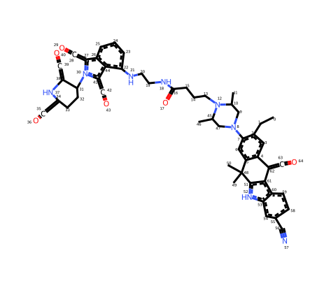 CCc1cc2c(cc1N1CC(C)N(CCCC(=O)NCCNc3cccc4c(=C=O)n(C5CCC(=C=O)NC5=C=O)c(=C=O)c34)C(C)C1)C(C)(C)c1[nH]c3cc(C#N)ccc3c1C2=C=O